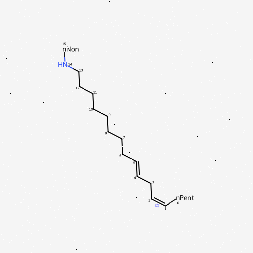 CCCCC/C=C\CC=CCCCCCCCCNCCCCCCCCC